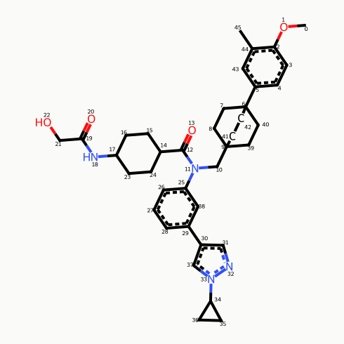 COc1ccc(C23CCC(CN(C(=O)C4CCC(NC(=O)CO)CC4)c4cccc(-c5cnn(C6CC6)c5)c4)(CC2)CC3)cc1C